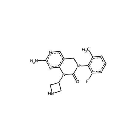 Cc1cccc(F)c1N1Cc2cnc(N)nc2N(C2CNC2)C1=O